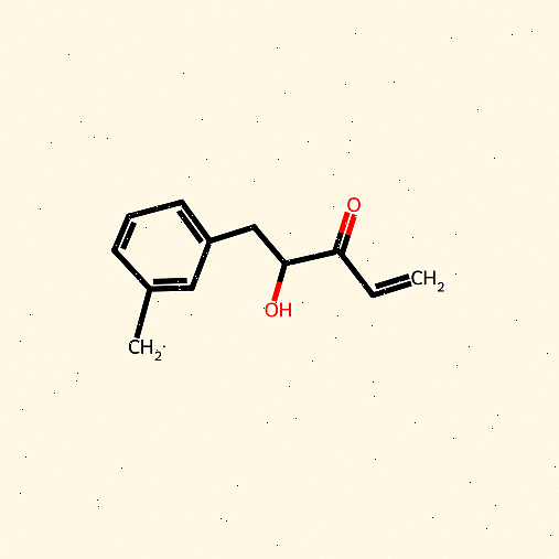 [CH2]c1cccc(CC(O)C(=O)C=C)c1